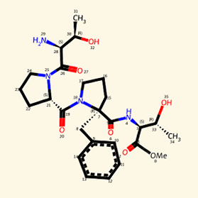 COC(=O)[C@@H](NC(=O)[C@]1(Cc2ccccc2)CCCN1C(=O)[C@@H]1CCCN1C(=O)[C@@H](N)[C@@H](C)O)[C@@H](C)O